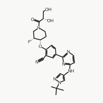 CC(C)(C)n1cc(Nc2ccnc(-c3ccc(O[C@H]4CCN(C(=O)[C@@H](O)CO)C[C@H]4F)c(C#N)c3)n2)cn1